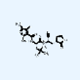 Cc1nn(C)c(C(=O)N[C@@H](CC(C)(C)C)C(=O)N[C@H](C#N)C[C@@H]2CCNC2=O)c1Cl